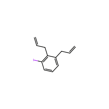 C=CCc1cccc(I)c1CC=C